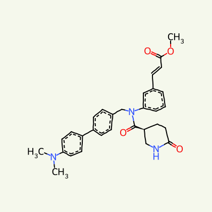 COC(=O)/C=C/c1cccc(N(Cc2ccc(-c3ccc(N(C)C)cc3)cc2)C(=O)[C@H]2CCC(=O)NC2)c1